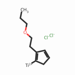 CCCOCCC1=[C]([Ti+2])CC=C1.[Cl-].[Cl-]